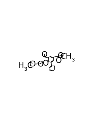 COCCOCOc1c(C=O)cc(CC(=O)OC)cc1-c1ccccc1